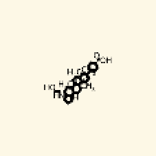 CC1(C)C(C2=CC[C@@H](C(=O)O)CC2)=CCC2(C)C1CCC1(C)C2CCC2[C@H]3CCCC3(NCCO)CC[C@]21C